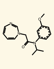 COc1cccc(N(C(=O)CN2C=CC=CN=C2)C(C)C)c1